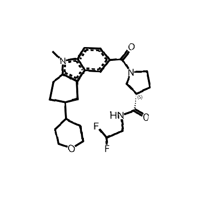 Cn1c2c(c3cc(C(=O)N4CC[C@H](C(=O)NCC(F)F)C4)ccc31)CC(C1CCOCC1)CC2